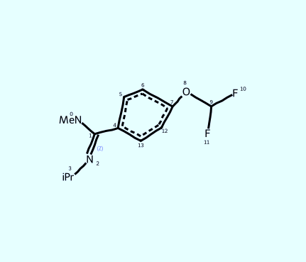 CN/C(=N\C(C)C)c1ccc(OC(F)F)cc1